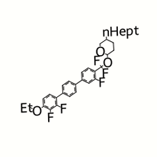 CCCCCCCC1CCC(OC(F)(F)c2ccc(-c3ccc(-c4ccc(OCC)c(F)c4F)cc3)cc2F)OC1